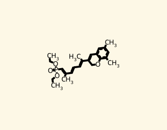 CCOP(=O)(C=C(C)/C=C/C=C(\C)C1=Cc2cc(C)cc(C)c2OC1)OCC